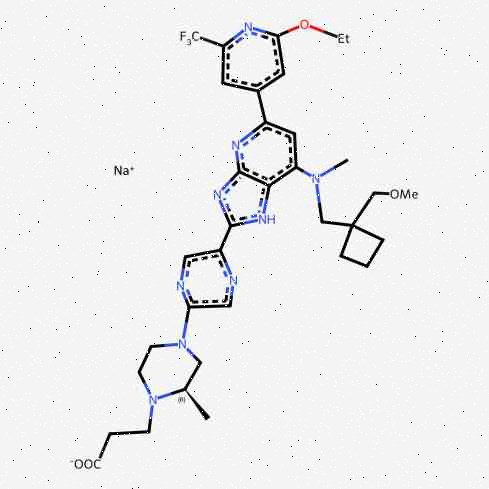 CCOc1cc(-c2cc(N(C)CC3(COC)CCC3)c3[nH]c(-c4cnc(N5CCN(CCC(=O)[O-])[C@H](C)C5)cn4)nc3n2)cc(C(F)(F)F)n1.[Na+]